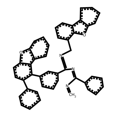 C=N/C(=N\C(=N/Cc1cccc2c1oc1ccccc12)c1cccc(-c2c(-c3ccccc3)ccc3oc4ccccc4c23)c1)c1ccccc1